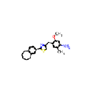 COc1cc(N)c(C)cc1Cc1csc(-c2ccc3c(c2)CCCCC3)n1